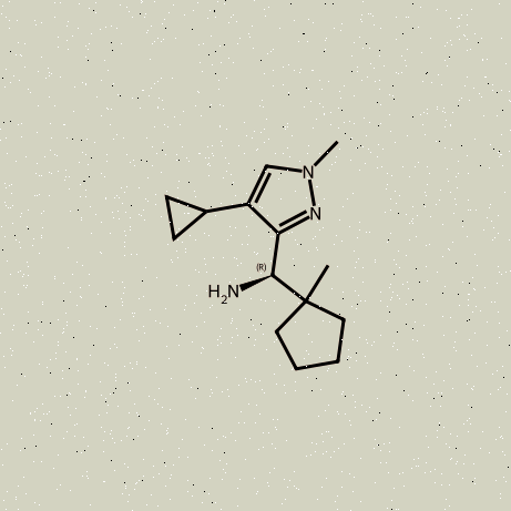 Cn1cc(C2CC2)c([C@H](N)C2(C)CCCC2)n1